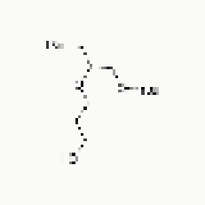 CC(C)(C)CC(COC(C)(C)C)OCCCO